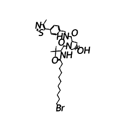 Cc1ncsc1-c1ccc(CNC(=O)C2C[C@@H](O)CN2C(=O)C(NC(=O)CCCCCCCCCCBr)C(C)(C)C)cc1